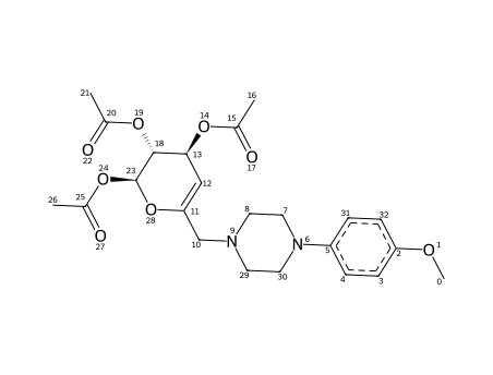 COc1ccc(N2CCN(CC3=C[C@H](OC(C)=O)[C@@H](OC(C)=O)[C@H](OC(C)=O)O3)CC2)cc1